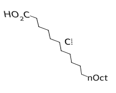 CCCCCCCCCCCCCCCCCCC(=O)O.[C]